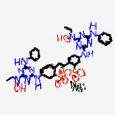 CCN(O)c1nc(Nc2ccccc2)nc(Nc2ccc(C=Cc3ccc(Nc4nc(Nc5ccccc5)nc(N(O)CC)n4)cc3S(=O)(=O)[O-])c(S(=O)(=O)[O-])c2)n1.[Na+].[Na+]